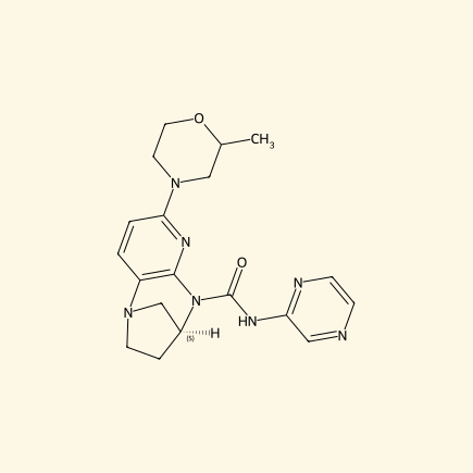 CC1CN(c2ccc3c(n2)N(C(=O)Nc2cnccn2)[C@H]2CCN3C2)CCO1